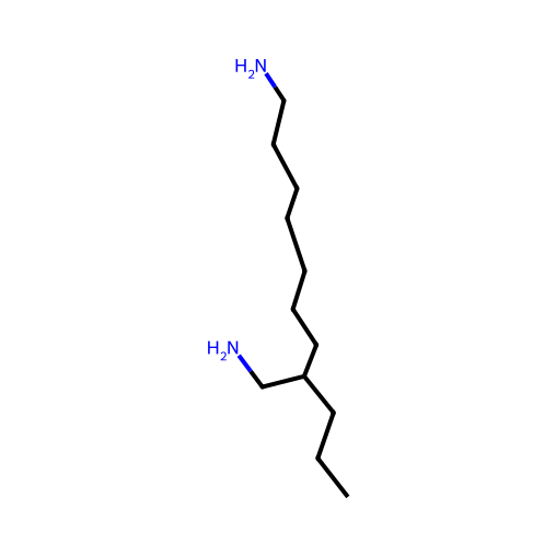 CCCC(CN)CCCCCCCN